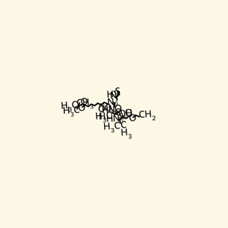 C=CCOC(=O)C[C@H](O)[C@H](NC(=O)[C@@H](C)NC(=O)[C@@H](Cc1cscn1)NC(=O)C[C@H](O)CCCCC(=O)OC(C)(C)C)C(C)C